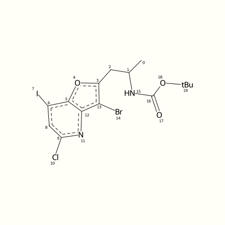 CC(Cc1oc2c(I)cc(Cl)nc2c1Br)NC(=O)OC(C)(C)C